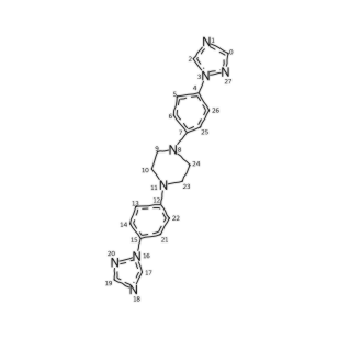 c1ncn(-c2ccc(N3CCN(c4ccc(-n5cncn5)cc4)CC3)cc2)n1